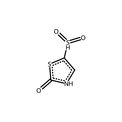 O=c1[nH]cc([SH](=O)=O)s1